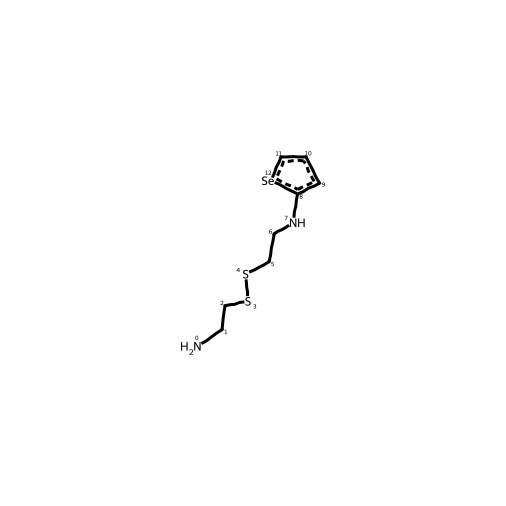 NCCSSCCNc1ccc[se]1